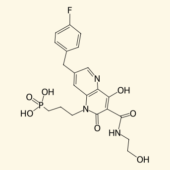 O=C(NCCO)c1c(O)c2ncc(Cc3ccc(F)cc3)cc2n(CCCP(=O)(O)O)c1=O